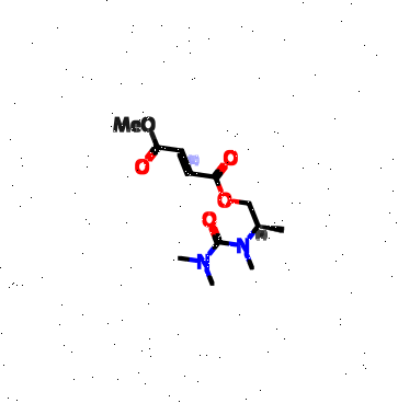 COC(=O)/C=C/C(=O)OC[C@@H](C)N(C)C(=O)N(C)C